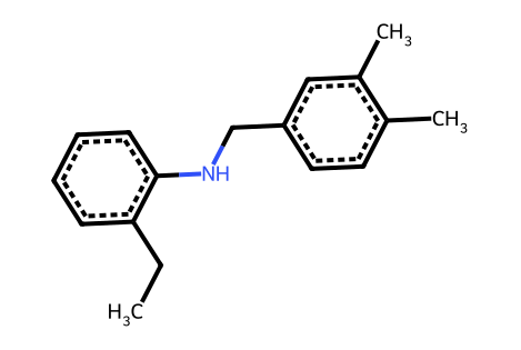 CCc1ccccc1NCc1ccc(C)c(C)c1